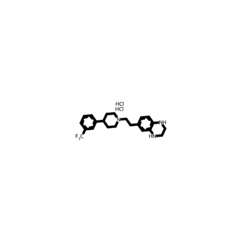 Cl.Cl.FC(F)(F)c1cccc(C2CCN(CCc3ccc4c(c3)NCCN4)CC2)c1